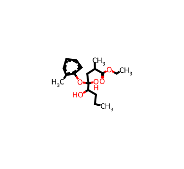 CCCC(O)C(O)(CC(C)C(=O)OCC)Oc1ccccc1C